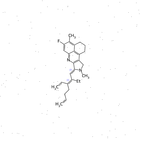 C=CCC/C(C=C)=C(/C=C1/c2nc3cc(F)c(C)c4c3c(c2CN1C)CCC4)CC